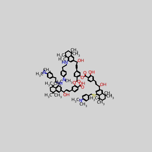 CN(C)c1ccc(CCNc2cc(C(O)C#Cc3ccc(C(=O)Oc4cc(C=CC(O)c5cc(NCCc6ccc(N(C)C)cc6)c6c(c5)C(C)(C)CCC6(C)C)ccc4C(=O)O)c(OC(=O)c4ccc(C=CC(O)c5cc(SCc6ccc(N(C)C)cc6)c6c(c5)C(C)(C)CCC6(C)C)cc4O)c3)cc3c2C(C)(C)CCC3(C)C)cc1